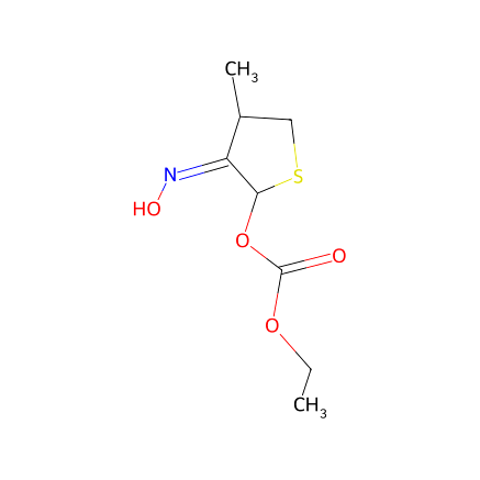 CCOC(=O)OC1SCC(C)C1=NO